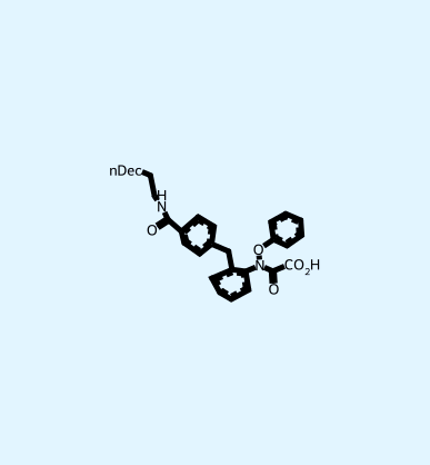 CCCCCCCCCCCCNC(=O)c1ccc(Cc2ccccc2N(Oc2ccccc2)C(=O)C(=O)O)cc1